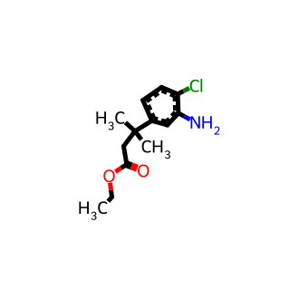 CCOC(=O)CC(C)(C)c1ccc(Cl)c(N)c1